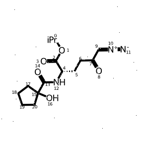 CC(C)OC(=O)[C@H](CCC(=O)C=[N+]=[N-])NC(=O)C1(O)CCCC1